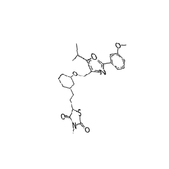 COc1cccc(-c2nc(COC3CCCC(CCC4SC(=O)N(C)C4=O)C3)c(C(C)C)o2)c1